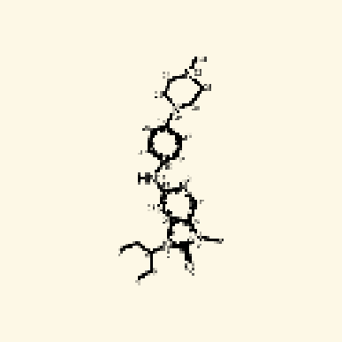 CCC(CC)n1c(=O)n(C)c2cnc(Nc3ccc(N4CCN(C)CC4)cc3)nc21